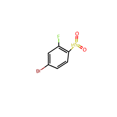 O=[SH](=O)c1ccc(Br)cc1F